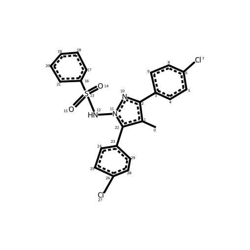 Cc1c(-c2ccc(Cl)cc2)nn(NS(=O)(=O)c2ccccc2)c1-c1ccc(Cl)cc1